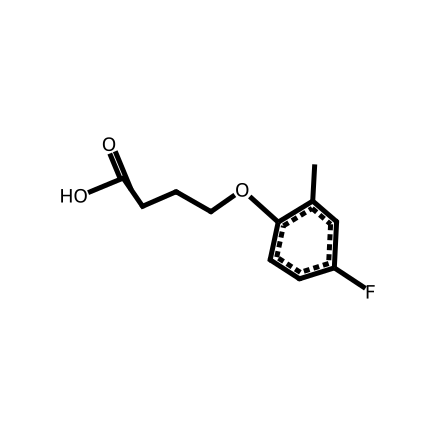 Cc1cc(F)ccc1OCCCC(=O)O